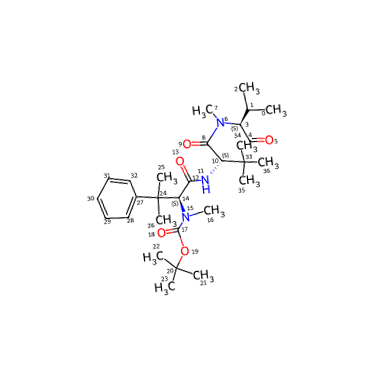 CC(C)[C@@H](C=O)N(C)C(=O)[C@@H](NC(=O)[C@@H](N(C)C(=O)OC(C)(C)C)C(C)(C)c1ccccc1)C(C)(C)C